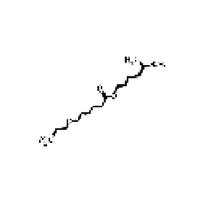 CCCOCCCCCC(=O)OCCCCC(C)C